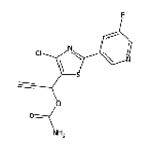 C#CC(OC(N)=O)c1sc(-c2cncc(F)c2)nc1Cl